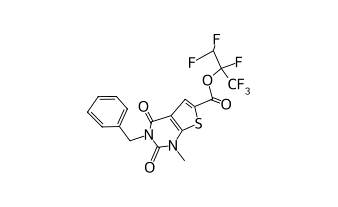 Cn1c(=O)n(Cc2ccccc2)c(=O)c2cc(C(=O)OC(F)(C(F)F)C(F)(F)F)sc21